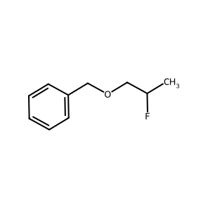 CC(F)COCc1ccccc1